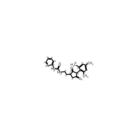 Cc1cc(C)c(C2C(=O)CC(CCNC(=O)Nc3ccccn3)C2=O)c(C)c1